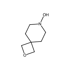 ON1CCC2(CC1)COC2